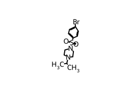 CC(C)N1CCN(S(=O)(=O)c2ccc(Br)cc2)CC1